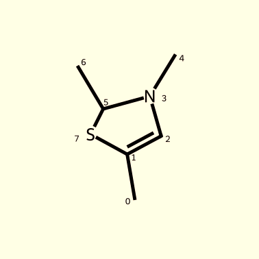 CC1=CN(C)C(C)S1